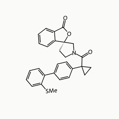 CSc1ccccc1-c1ccc(C2(C(=O)N3CC[C@@]4(C3)OC(=O)c3ccccc34)CC2)cc1